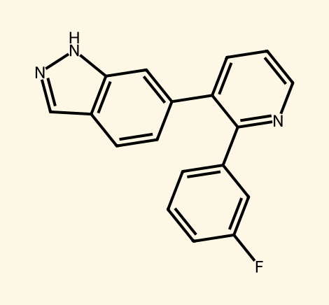 Fc1cccc(-c2ncccc2-c2ccc3cn[nH]c3c2)c1